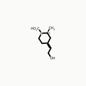 C[C@H]1CC(=CCO)CCN1C(=O)O